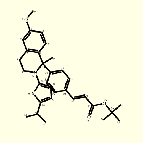 COc1ccc2c(c1)CCN(c1ccc(C(C)C)s1)C2(C)c1ccc(/C=C/C(=O)OC(C)(C)C)cc1